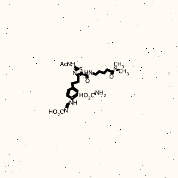 CC(=O)Nc1nc(CCc2ccc(NC=NC(=O)O)cc2)c(C(=O)NCCCCC(=O)N(C)C)s1.NC(=O)O